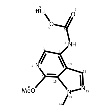 COc1ncc(NC(=O)OC(C)(C)C)c2cnn(C)c12